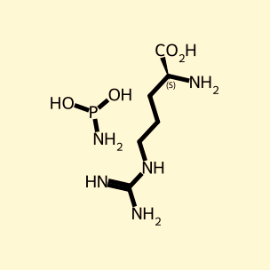 N=C(N)NCCC[C@H](N)C(=O)O.NP(O)O